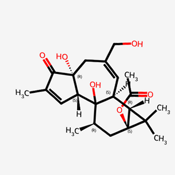 CC(=O)O[C@@]12C[C@@H](C)C3(O)[C@@H](C=C(CO)C[C@]4(O)C(=O)C(C)=C[C@@H]34)[C@@H]1C2(C)C